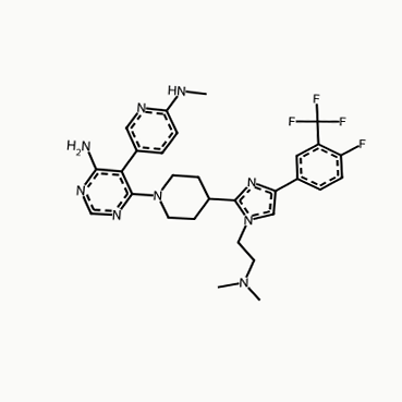 CNc1ccc(-c2c(N)ncnc2N2CCC(c3nc(-c4ccc(F)c(C(F)(F)F)c4)cn3CCN(C)C)CC2)cn1